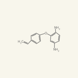 C=Cc1ccc(Oc2cc(N)ccc2N)cc1